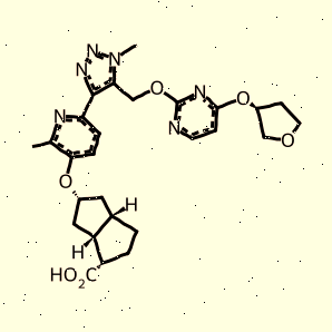 Cc1nc(-c2nnn(C)c2COc2nccc(O[C@H]3CCOC3)n2)ccc1O[C@@H]1C[C@@H]2CC[C@H](C(=O)O)[C@@H]2C1